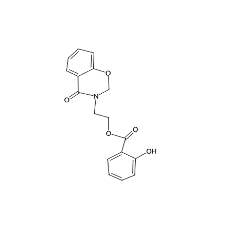 O=C(OCCN1COc2ccccc2C1=O)c1ccccc1O